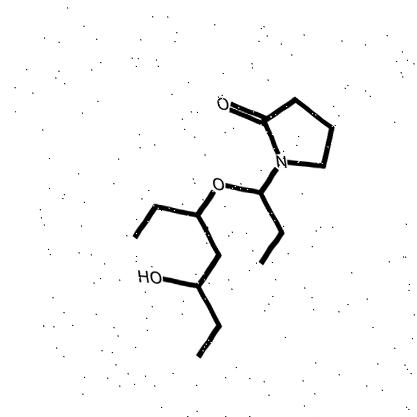 CCC(O)CC(CC)OC(CC)N1CCCC1=O